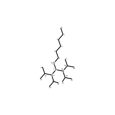 CCCCCCOP(N(C(C)C)C(C)C)N(C(C)C)C(C)C